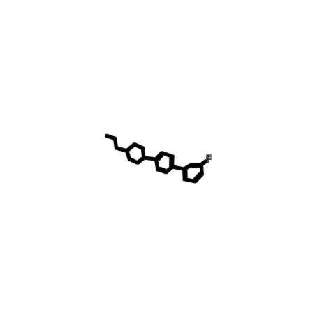 CCCC1CCC(c2ccc(-c3cccc(F)c3)cc2)CC1